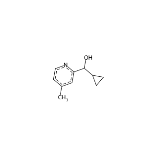 Cc1ccnc(C(O)C2CC2)c1